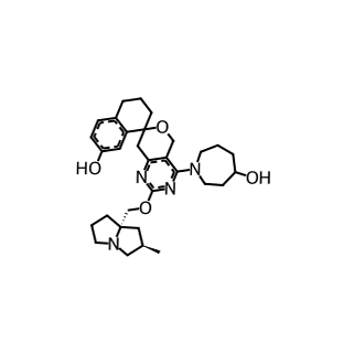 C[C@H]1CN2CCC[C@@]2(COc2nc3c(c(N4CCCC(O)CC4)n2)COC2(CCCc4ccc(O)cc42)C3)C1